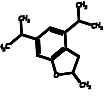 CC1Cc2c(cc(C(C)C)cc2C(C)C)O1